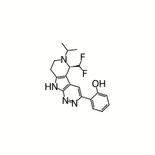 CC(C)N1CCc2[nH]c3nnc(-c4ccccc4O)cc3c2[C@@H]1C(F)F